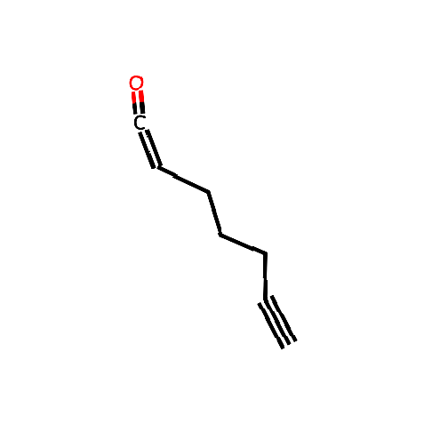 C#CCCCC=C=O